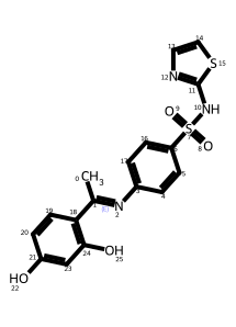 C/C(=N\c1ccc(S(=O)(=O)Nc2nccs2)cc1)c1ccc(O)cc1O